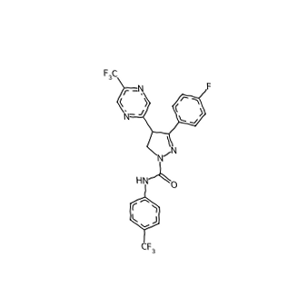 O=C(Nc1ccc(C(F)(F)F)cc1)N1CC(c2cnc(C(F)(F)F)cn2)C(c2ccc(F)cc2)=N1